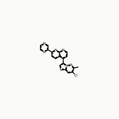 Cc1nn2c(-c3ccnc4nc(-c5cnccn5)ccc34)cnc2cc1Cl